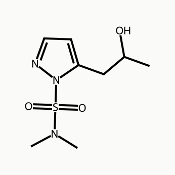 CC(O)Cc1ccnn1S(=O)(=O)N(C)C